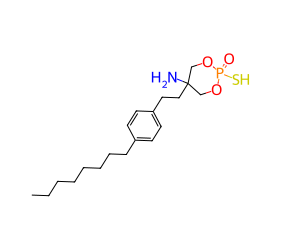 CCCCCCCCc1ccc(CCC2(N)COP(=O)(S)OC2)cc1